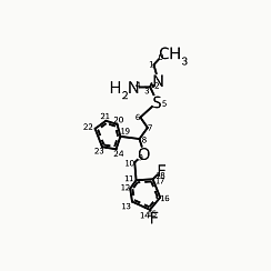 CC/N=C(\N)SCCC(OCc1ccc(F)cc1F)c1ccccc1